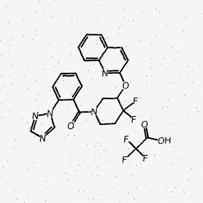 O=C(O)C(F)(F)F.O=C(c1ccccc1-n1cncn1)N1CCC(F)(F)C(Oc2ccc3ccccc3n2)C1